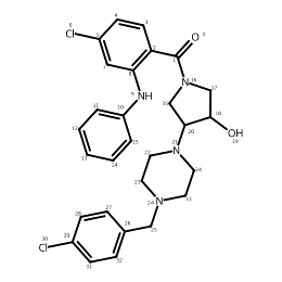 O=C(c1ccc(Cl)cc1Nc1ccccc1)N1CC(O)C(N2CCN(Cc3ccc(Cl)cc3)CC2)C1